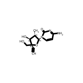 C#C[C@]1(CO)O[C@@H](n2ccc(N)nc2=O)[C@@H](C)[C@@H]1O